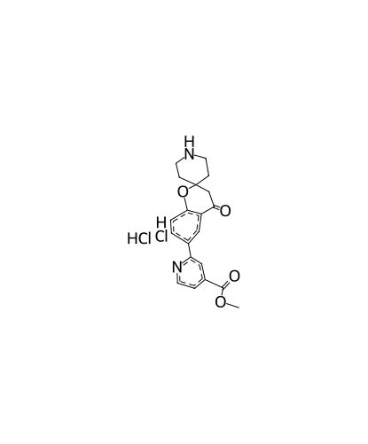 COC(=O)c1ccnc(-c2ccc3c(c2)C(=O)CC2(CCNCC2)O3)c1.Cl.Cl